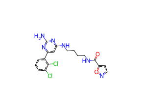 Nc1nc(NCCCCNC(=O)c2ccno2)cc(-c2cccc(Cl)c2Cl)n1